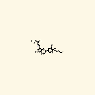 NC(=O)/C=C/c1c[nH]c2ncc(-c3cnc(OCCCF)c(F)c3)nc12